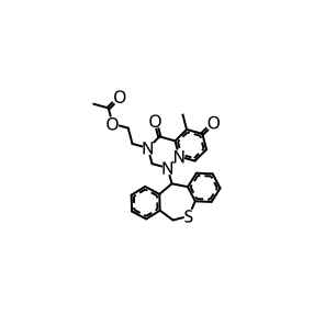 CC(=O)OCCN1CN(C2c3ccccc3CSc3ccccc32)n2ccc(=O)c(C)c2C1=O